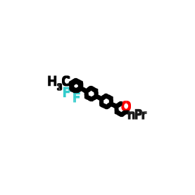 CCCC1CCC(C2CCC(C3CCC(c4ccc(C)c(F)c4F)CC3)CC2)CO1